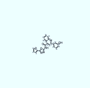 O=C(Nc1nnc(-c2ccco2)o1)c1cc(-c2cccc(O)c2)nc2ccccc12